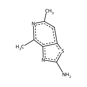 Cc1cc2sc(N)nc2c(C)n1